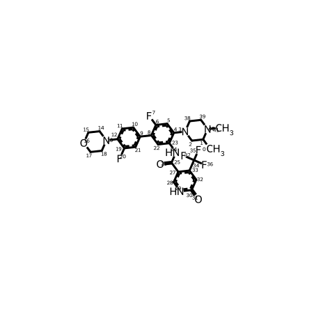 CC1CN(c2cc(F)c(-c3ccc(N4CCOCC4)c(F)c3)cc2NC(=O)c2c[nH]c(=O)cc2C(F)(F)F)CCN1C